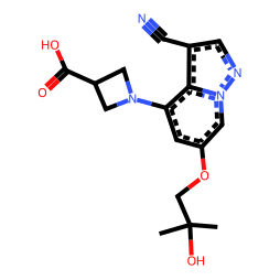 CC(C)(O)COc1cc(N2CC(C(=O)O)C2)c2c(C#N)cnn2c1